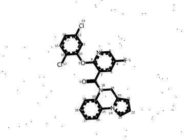 O=C(c1cc(F)cnc1Oc1cc(Cl)ccc1Cl)N1Cc2cccn2-c2ccccc21